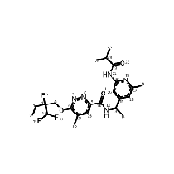 CCC(F)(COc1nnc(C(=O)NC(C)c2cc(C)nc(NC(=O)C(C)C)c2)cc1C)C(F)F